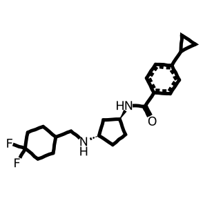 O=C(N[C@H]1CC[C@H](NCC2CCC(F)(F)CC2)C1)c1ccc(C2CC2)cc1